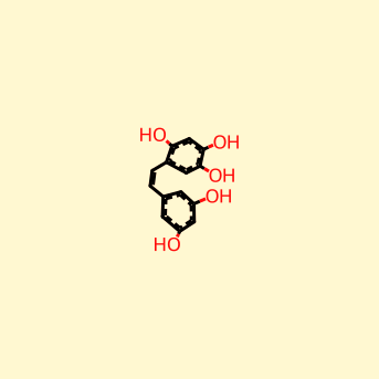 Oc1cc(O)cc(/C=C\c2cc(O)c(O)cc2O)c1